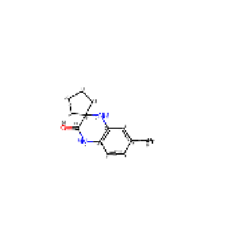 CC(C)c1ccc2c(c1)NC1(CCCC1)C(=O)N2